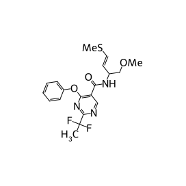 COCC(/C=C/SC)NC(=O)c1cnc(C(C)(F)F)nc1Oc1ccccc1